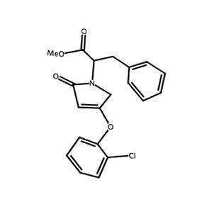 COC(=O)C(Cc1ccccc1)N1CC(Oc2ccccc2Cl)=CC1=O